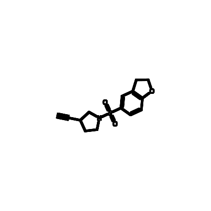 C#CC1CCN(S(=O)(=O)c2ccc3c(c2)CCO3)C1